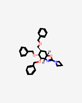 c1ccc(COC[C@H]2C[C@@H]3OC(N4CCC4)=N[C@@H]3[C@@H](OCc3ccccc3)[C@@H]2OCc2ccccc2)cc1